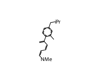 C=C(/C=C\C=C/NC)c1ccc(CC(C)C)cc1C